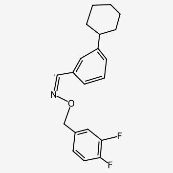 Fc1ccc(CO/N=[C]\c2cccc(C3CCCCC3)c2)cc1F